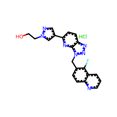 Cl.OCCn1cc(-c2ccc3nnn(Cc4ccc5ncccc5c4F)c3n2)cn1